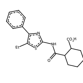 CCc1sc(NC(=O)C2CCCCC2C(=O)O)nc1-c1ccccc1